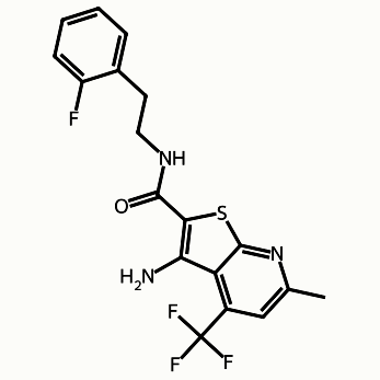 Cc1cc(C(F)(F)F)c2c(N)c(C(=O)NCCc3ccccc3F)sc2n1